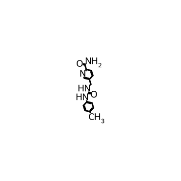 Cc1ccc(NC(=O)NCc2ccc(C(N)=O)nc2)cc1